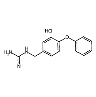 Cl.N=C(N)NCc1ccc(Oc2ccccc2)cc1